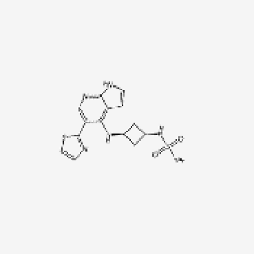 CCCS(=O)(=O)N[C@H]1C[C@@H](Nc2c(-c3nccs3)cnc3[nH]ccc23)C1